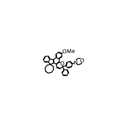 COc1ccc2c3c(c4c(c2c1)OC(c1ccccc1)(c1ccc(N2CCOCC2)cc1)C=C4)C1(CCCCCCC1)c1ccccc1-3